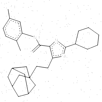 Cc1ccc(C(=O)O)cc1NC(=O)c1nc(C2CCCCC2)[nH]c1CCC12CC3CC(CC(C3)C1)C2